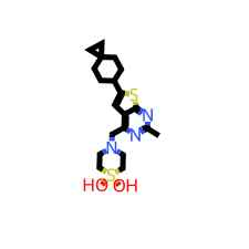 Cc1nc(CN2CCS(O)(O)CC2)c2cc(C3CCC4(CC3)CC4)sc2n1